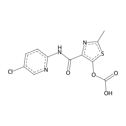 Cc1nc(C(=O)Nc2ccc(Cl)cn2)c(OC(=O)O)s1